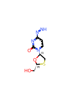 N=Nc1ccn([C@@H]2CS[C@H](CO)O2)c(=O)n1